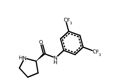 O=C(Nc1cc(C(F)(F)F)cc(C(F)(F)F)c1)[C@H]1CCCN1